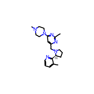 Cc1nc(CN2CCC[C@H]2c2ncccc2C)cc(N2CCN(C)CC2)n1